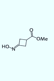 COC(=O)C1CC(=NO)C1